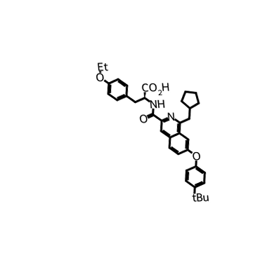 CCOc1ccc(C[C@H](NC(=O)c2cc3ccc(Oc4ccc(C(C)(C)C)cc4)cc3c(CC3CCCC3)n2)C(=O)O)cc1